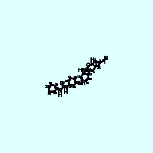 N#Cc1c[nH]c(C=C2C(=O)Nc3cc(Nc4cccc(NC(=O)Nc5ccccc5)c4)ccc32)c1